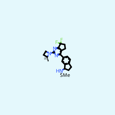 CSNC1CCc2ccc(-c3nc(N4CC[C@@H]4C)nc4c3CCC4(F)F)cc21